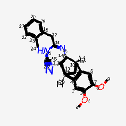 COc1cc2c(cc1OC)[C@@H]1C[C@@H]2C[C@@H]1N=C(Cc1ccccc1C)NC#N